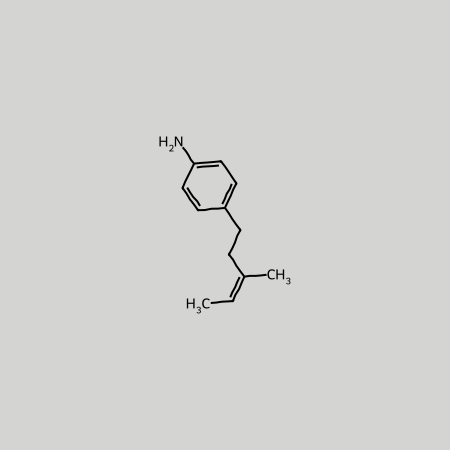 C/C=C(/C)CCc1ccc(N)cc1